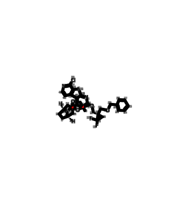 CC(C)(C)OC(=O)N1[C@@H]2CC[C@H]1CN(c1nc(OC[C@]3(COCc4ccccc4)CC3(F)F)nc3sc4c(Cl)nccc4c13)C2